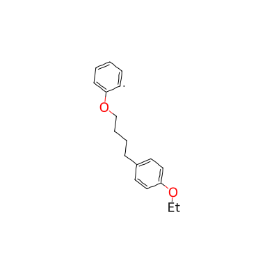 CCOc1ccc(CCCCOc2[c]cccc2)cc1